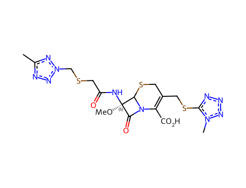 CO[C@@]1(NC(=O)CSCn2nnc(C)n2)C(=O)N2C(C(=O)O)=C(CSc3nnnn3C)CSC21